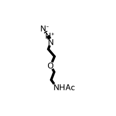 CC(=O)NCCOCCN=[N+]=[N-]